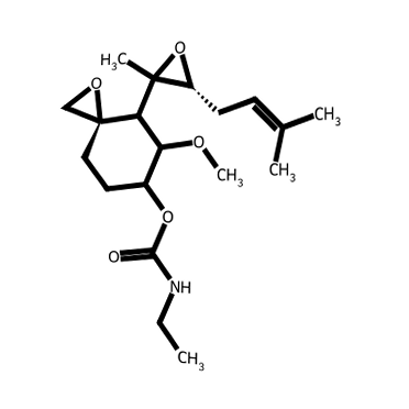 CCNC(=O)OC1CC[C@]2(CO2)C(C2(C)O[C@@H]2CC=C(C)C)C1OC